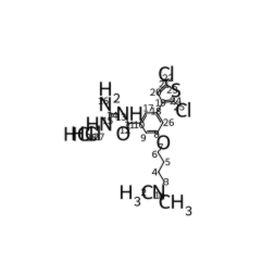 CN(C)CCCCOc1cc(C(=O)NC(=N)N)cc(-c2cc(Cl)sc2Cl)c1.Cl.Cl